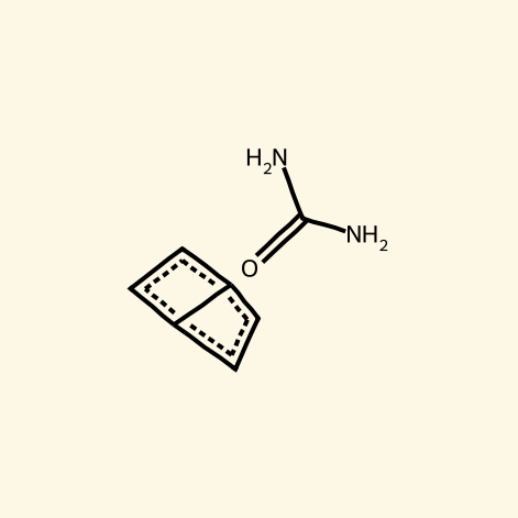 NC(N)=O.c1cc2ccc1-2